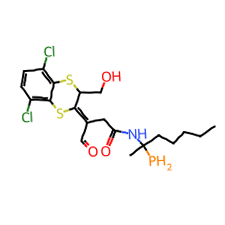 CCCCCC(C)(P)NC(=O)C/C(C=O)=C1/Sc2c(Cl)ccc(Cl)c2SC1CO